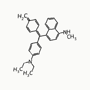 C=c1ccc(=C(c2ccc(N(CC)CC)cc2)c2ccc(NC)c3ccccc23)cc1